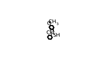 COc1ccc(C[PH](S)(Cl)c2ccccc2)cc1